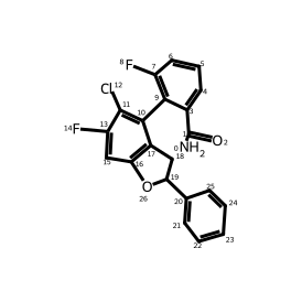 NC(=O)c1cccc(F)c1-c1c(Cl)c(F)cc2c1CC(c1ccccc1)O2